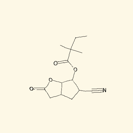 CCC(C)(C)C(=O)OC1C(C#N)CC2CC(=O)OC21